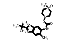 Cc1cc2nc(C(C)(C)C)sc2cc1NC(=O)SN1CC[N+](C)([O-])CC1